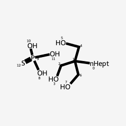 CCCCCCCC(CO)(CO)CO.OP(O)(O)=S